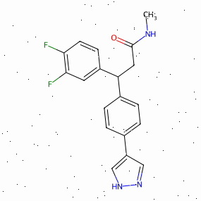 CNC(=O)CC(c1ccc(-c2cn[nH]c2)cc1)c1ccc(F)c(F)c1